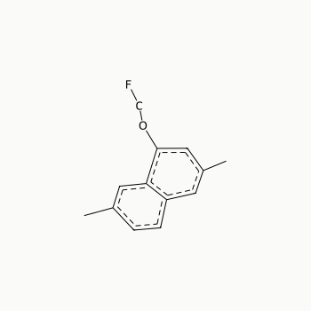 Cc1cc(OCF)c2cc(C)ccc2c1